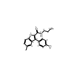 Cc1ccc2oc(C(=O)NCCC(C)C)c(-c3ccc(Cl)cc3)c2c1